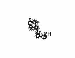 CC[C@@H](CC(=O)O)c1cccc(OCc2ccc(-c3cc(C(F)F)ccc3F)c(C3=CCCC3(C)C)c2)c1F